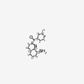 Cc1cccc(C(=O)c2ccc3cccc(N)c3n2)c1